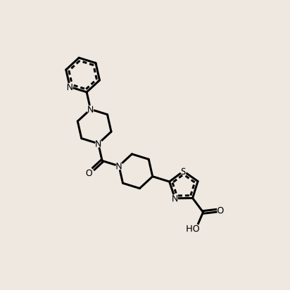 O=C(O)c1csc(C2CCN(C(=O)N3CCN(c4ccccn4)CC3)CC2)n1